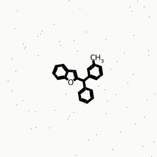 Cc1cccc(C(c2ccccc2)c2cc3ccccc3o2)c1